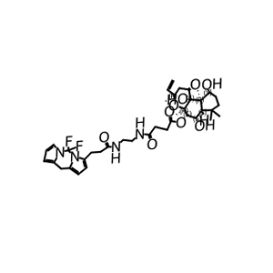 C=C[C@@]1(C)CC(=O)[C@]2(O)[C@@]3(C)[C@@H](O)CCC(C)(C)[C@@H]3[C@H](O)[C@H](OC(=O)CCC(=O)NCCNC(=O)CCc3ccc4n3C(F)(F)n3cccc3C4)[C@@]2(C)O1